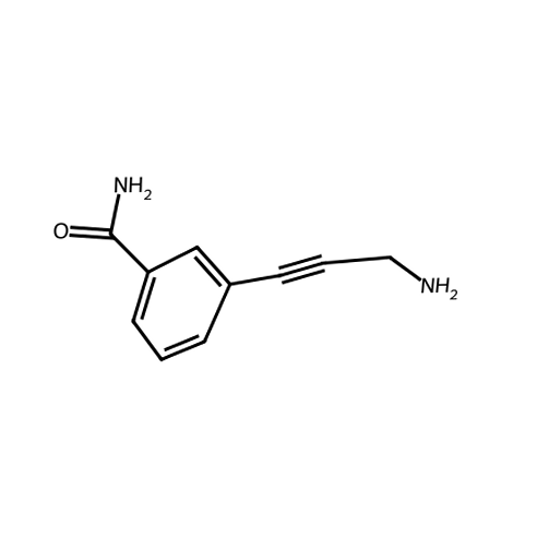 NCC#Cc1cccc(C(N)=O)c1